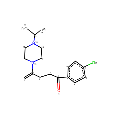 C=C(CCC(=O)c1ccc(Cl)cc1)N1CCN(C(CCC)CCC)CC1